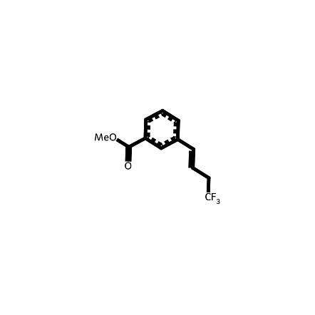 COC(=O)c1cccc(C=CCC(F)(F)F)c1